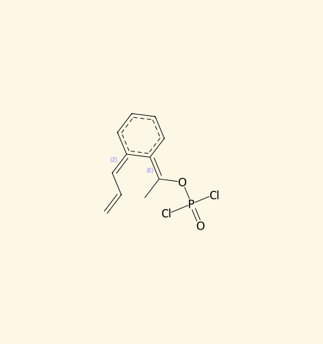 C=C/C=c1/cccc/c1=C(/C)OP(=O)(Cl)Cl